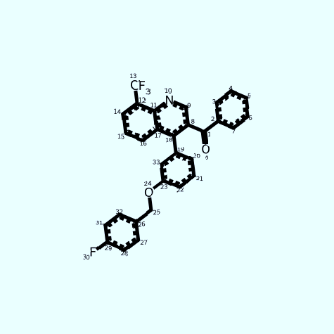 O=C(c1ccccc1)c1cnc2c(C(F)(F)F)cccc2c1-c1cccc(OCc2ccc(F)cc2)c1